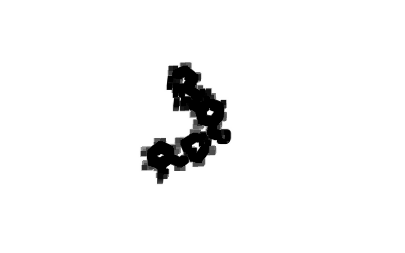 O=C(c1ccc2nc(-c3cccnn3)[nH]c2c1)N1CCN(Cc2ccccc2F)CC1